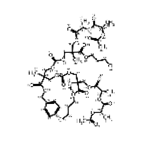 CC(=O)O[C@H](C)C(=O)O[C@H](C)C(=O)OCC(C)(COC(=O)OCC(C)(COC(=O)OCC(C)(COC(=O)[C@@H](C)OC(=O)[C@@H](C)OC(C)=O)C(=O)OCCCCl)C(=O)OCc1ccccc1)C(=O)OCCCCl